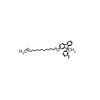 COCCCCCCCCCCCCOc1ccc2c(c1)C(C)(c1cccc(F)c1)c1ccccc1-2